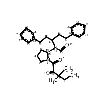 CCC(C)(C)C(=O)C(=O)N1CCC[C@H]1N(C=O)C(CCc1ccccc1)CCc1ccccc1